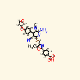 [C-]#[N+]c1c(N)nc(SCc2nc(-c3ccc(C(=O)O)cc3)oc2C)c(C#N)c1-c1ccc(OC2CCOC2)cc1